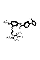 COc1ccc(NC(=O)c2ccc(-c3ccccc3Cl)cc2)cc1OCCN(C(C)C)C(C)C